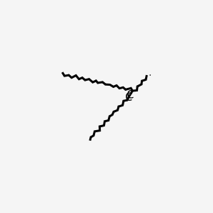 [CH2]CCCCCC(CCCCCCCCCCCCCCCCCCC)CCCCCCCCCCCCCCCCCCCCC